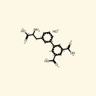 Cl.NC(Cc1cccc(-c2cc(C(=O)O)cc(C(=O)O)c2)c1)C(=O)O